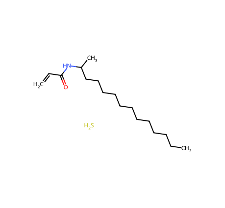 C=CC(=O)NC(C)CCCCCCCCCCCC.S